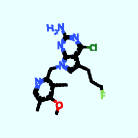 COc1c(C)cnc(Cn2cc(CCCF)c3c(Cl)nc(N)nc32)c1C